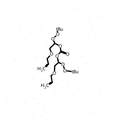 C=CCOCC(OOC(C)(C)C)OC(=O)OC(COCC=C)OOC(C)(C)C